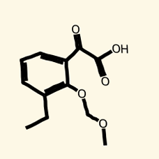 CCc1cccc(C(=O)C(=O)O)c1OCOC